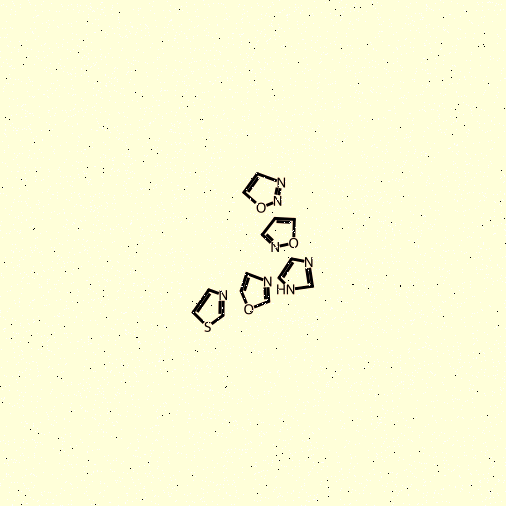 c1c[nH]cn1.c1cnoc1.c1cocn1.c1conn1.c1cscn1